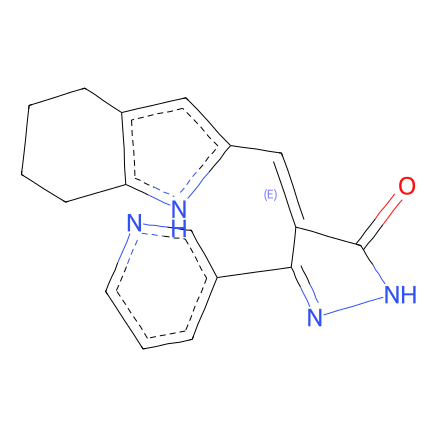 O=C1NN=C(c2cccnc2)/C1=C\c1cc2c([nH]1)CCCC2